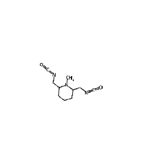 CN1C(CN=C=O)CCCC1CN=C=O